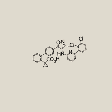 Cc1noc(-c2ccc(-c3ccccc3C3(C(=O)O)CC3)cc2)c1Nc1cccc(-c2cccc(Cl)c2Cl)n1